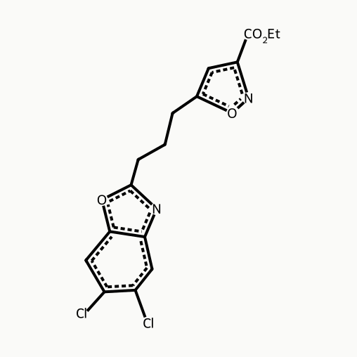 CCOC(=O)c1cc(CCCc2nc3cc(Cl)c(Cl)cc3o2)on1